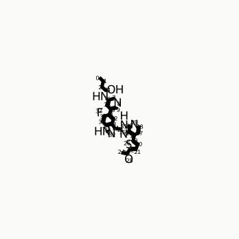 CCCC(O)Nc1cncc(-c2cc3c(-c4nc5c(-c6ccc(C(C)=O)s6)ccnc5[nH]4)n[nH]c3cc2F)c1